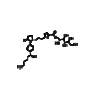 CCCCC[C@H](O)c1ccc(N2C(=O)CC[C@@H]2CCCc2ccc(C(=O)OC[C@@H](O)[C@@H](O)[C@H](O)[C@@H](O)CO)s2)cc1